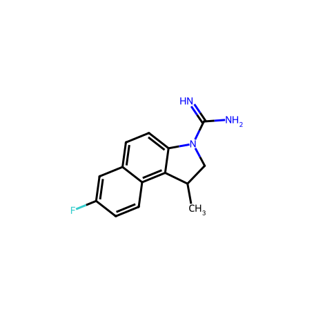 CC1CN(C(=N)N)c2ccc3cc(F)ccc3c21